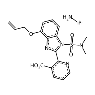 C=CCOc1cccc2c1nc(-c1ncccc1C(=O)O)n2S(=O)(=O)N(C)C.CC(C)N